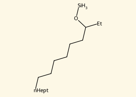 CCCCCCCCCCCCCC(CC)O[SiH3]